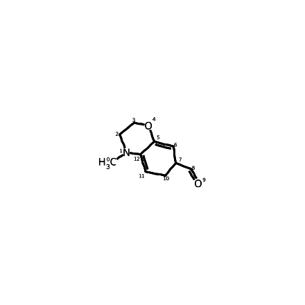 CN1CCOC2=CC(C=O)CC=C21